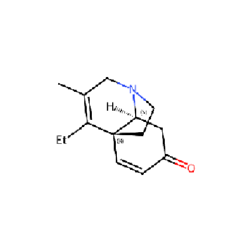 CCC1=C(C)CN2CC[C@@]13C=CC(=O)C[C@H]23